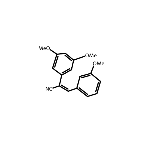 COc1cccc(C=C(C#N)c2cc(OC)cc(OC)c2)c1